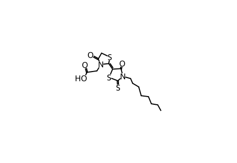 CCCCCCCCN1C(=O)/C(=C2\SCC(=O)N2CC(=O)O)SC1=S